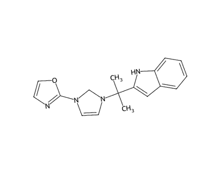 CC(C)(c1cc2ccccc2[nH]1)N1C=CN(c2ncco2)C1